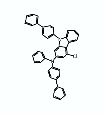 Clc1cc(N(c2ccccc2)c2ccc(-c3ccccc3)cc2)cc2c1c1ccccc1n2-c1ccc(-c2ccccc2)cc1